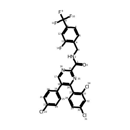 O=C(NCc1ccc(C(F)(F)F)cc1F)c1ncc(-c2ccc(Cl)cc2)c(-c2ccc(Cl)cc2Cl)n1